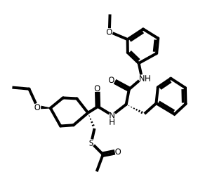 CCO[C@H]1CC[C@@](CSC(C)=O)(C(=O)N[C@@H](Cc2ccccc2)C(=O)Nc2cccc(OC)c2)CC1